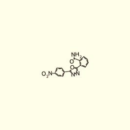 NC(=O)c1ccccc1-c1nnc(-c2ccc([N+](=O)[O-])cc2)o1